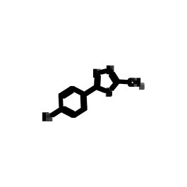 CCc1ccc(-c2nnc(C)s2)cc1